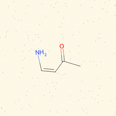 CC(=O)/C=C\N